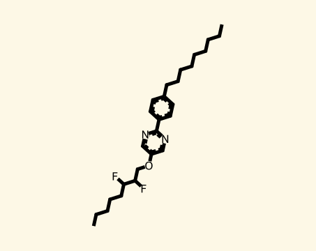 CCCCCCCCCc1ccc(-c2ncc(OCC(F)C(F)CCCCC)cn2)cc1